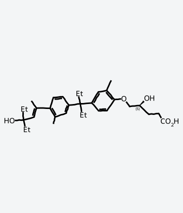 CCC(O)(C=C(C)c1ccc(C(CC)(CC)c2ccc(OC[C@@H](O)CCC(=O)O)c(C)c2)cc1C)CC